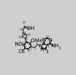 COc1c(CCn2nc(C)c3c(N)ncnc32)cc(Cl)c(C#N)c1C1CN(C[C@H](C)O)C1